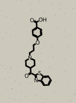 O=C(O)c1ccc(OCCCN2CCC(C(=O)c3nc4ccccc4s3)CC2)cc1